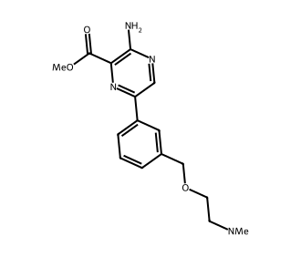 CNCCOCc1cccc(-c2cnc(N)c(C(=O)OC)n2)c1